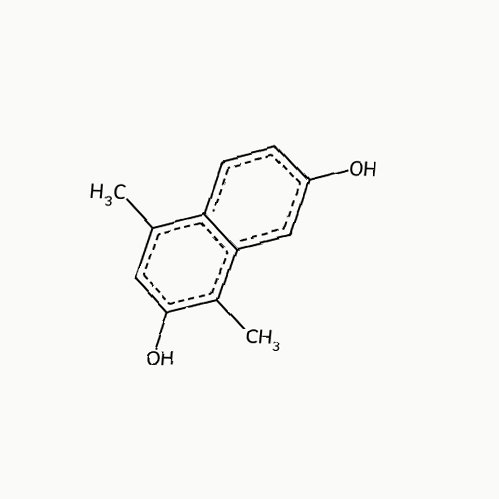 Cc1cc(O)c(C)c2cc(O)ccc12